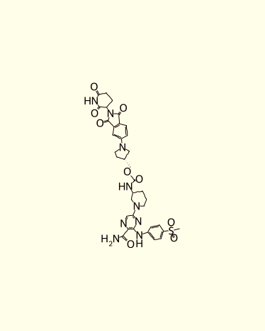 CS(=O)(=O)c1ccc(Nc2nc(N3CCCC(NC(=O)OC[C@@H]4CCN(c5ccc6c(c5)C(=O)N(C5CCC(=O)NC5=O)C6=O)C4)C3)cnc2C(N)=O)cc1